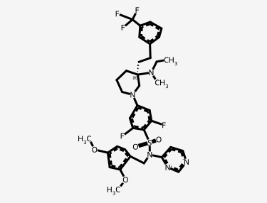 CCN(C)[C@]1(CCc2cccc(C(F)(F)F)c2)CCCN(c2cc(F)c(S(=O)(=O)N(Cc3ccc(OC)cc3OC)c3ccncn3)c(F)c2)C1